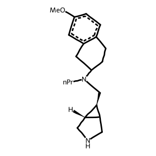 CCCN(C[C@H]1C2CNC[C@@H]21)C1CCc2ccc(OC)cc2C1